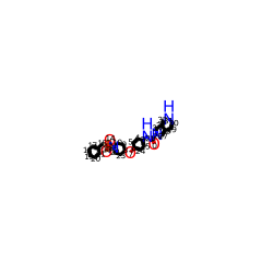 O=C(Nc1ccc(OC2CCN(S(=O)(=O)Cc3ccccc3)CC2)cc1)N1C=C2C=CNC=C2C1